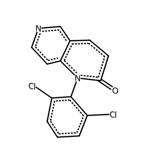 O=c1ccc2cnccc2n1-c1c(Cl)cccc1Cl